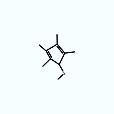 CSC1C(C)=C(C)C(C)=C1C